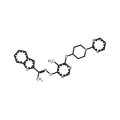 CC(=NOc1ncnc(OC2CCN(c3ncccn3)CC2)c1C)c1cc2ccccc2o1